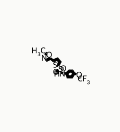 Cc1ncc(-c2ccc(S(=O)(=O)Nc3ccc(OC(F)(F)F)cc3)s2)o1